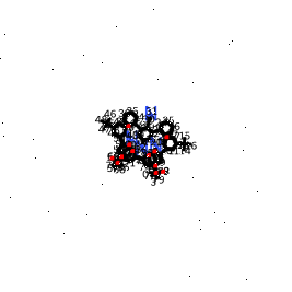 CC(C)(C)c1ccc2c(c1)c1cc(C(C)(C)C)ccc1n2-c1c(-c2ccccc2)c(C#N)c(-c2ccccc2)c(-n2c3ccc(C(C)(C)C)cc3c3cc(C(C)(C)C)ccc32)c1-n1c2ccc(C(C)(C)C)cc2c2cc(C(C)(C)C)ccc21